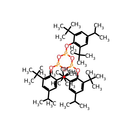 CC(C)c1cc(C(C)(C)C)c(OP2OP(Oc3c(C(C)(C)C)cc(C(C)C)cc3C(C)(C)C)OP(Oc3c(C(C)(C)C)cc(C(C)C)cc3C(C)(C)C)O2)c(C(C)(C)C)c1